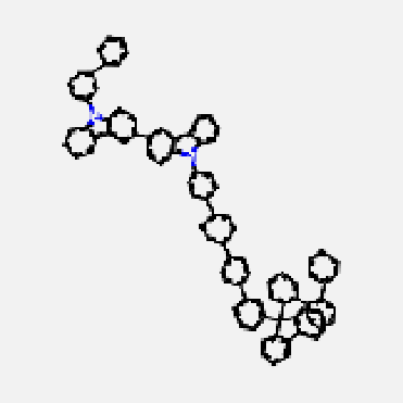 c1ccc(-c2cccc(-n3c4ccccc4c4cc(-c5ccc6c(c5)c5ccccc5n6-c5ccc(-c6ccc(-c7ccc(-c8cccc(C9(c%10ccccc%10-c%10ccccc%10-c%10ccccc%10)c%10ccccc%10-c%10ccccc%109)c8)cc7)cc6)cc5)ccc43)c2)cc1